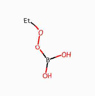 CCOOB(O)O